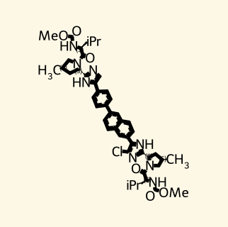 COC(=O)N[C@H](C(=O)N1C[C@@H](C)C[C@H]1c1ncc(-c2ccc(-c3ccc4cc(-c5[nH]c([C@@H]6C[C@H](C)CN6C(=O)[C@@H](NC(=O)OC)C(C)C)nc5Cl)ccc4c3)cc2)[nH]1)C(C)C